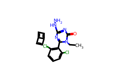 CCn1c(-c2c(Cl)cccc2Cl)nc(NN)nc1=O.c1cc2ccc1-2